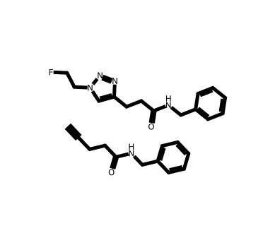 C#CCCC(=O)NCc1ccccc1.O=C(CCc1cn(CCF)nn1)NCc1ccccc1